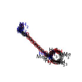 CO[C@H]1C[C@@H]2CC[C@@H](C)[C@@](O)(O2)C(=O)C(=O)N2CCCC[C@H]2C(=O)O[C@H]([C@H](C)C[C@@H]2CC[C@@H](OC(=O)NCCOCCOCCOCCOCCOCCOCCOCCOCCC(=O)N3CCc4cc(Cn5nc(-c6ccc7oc(N)nc7c6)c6c(N)ncnc65)ccc4C3)[C@H](OC)C2)CC(N=[N+]=[N-])[C@H](C)/C=C(\C)[C@@H](O)[C@@H](OC)C(=O)[C@H](C)C[C@H](C)/C=C/C=C/C=C/1C